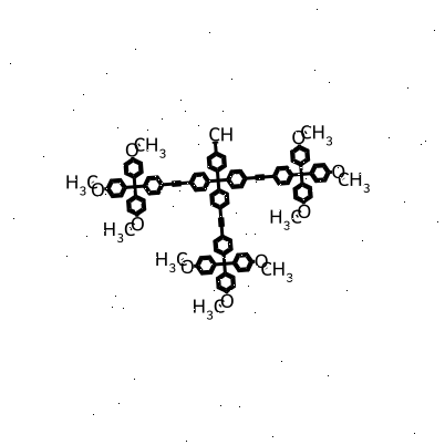 C#Cc1ccc(C(c2ccc(C#Cc3ccc(C(c4ccc(OC)cc4)(c4ccc(OC)cc4)c4ccc(OC)cc4)cc3)cc2)(c2ccc(C#Cc3ccc(C(c4ccc(OC)cc4)(c4ccc(OC)cc4)c4ccc(OC)cc4)cc3)cc2)c2ccc(C#Cc3ccc(C(c4ccc(OC)cc4)(c4ccc(OC)cc4)c4ccc(OC)cc4)cc3)cc2)cc1